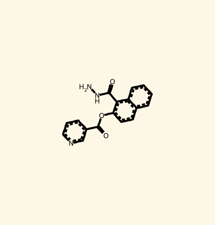 NNC(=O)c1c(OC(=O)c2cccnc2)ccc2ccccc12